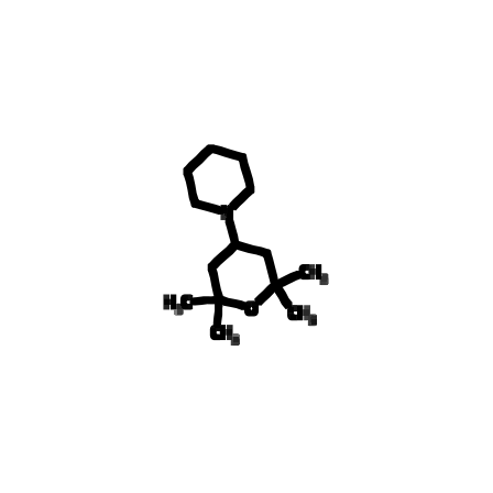 CC1(C)CC(N2CCCCC2)CC(C)(C)O1